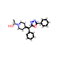 CB(O)N1CCC(=C(c2ccccc2)c2nnc(-c3ccccc3)o2)CC1